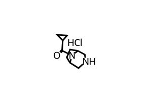 Cl.O=C(C1CC1)N1C2CCC1CNC2